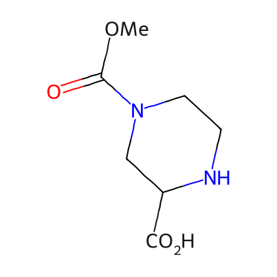 COC(=O)N1CCNC(C(=O)O)C1